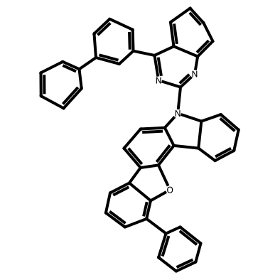 C1=CC2c3c(ccc4c3oc3c(-c5ccccc5)cccc34)N(c3nc(-c4cccc(-c5ccccc5)c4)c4ccccc4n3)C2C=C1